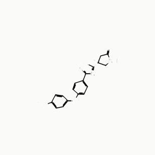 O=C1C[C@@H](c2nc(-c3ccc(Oc4ccc(C(F)(F)F)cc4)cc3)no2)CN1